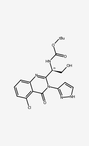 CC(C)(C)OC(=O)N[C@@H](CO)c1nc2cccc(Cl)c2c(=O)n1-c1cc[nH]n1